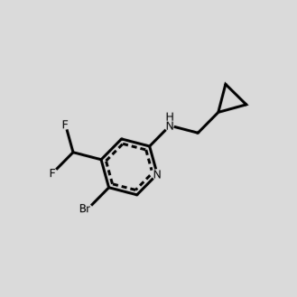 FC(F)c1cc(NCC2CC2)ncc1Br